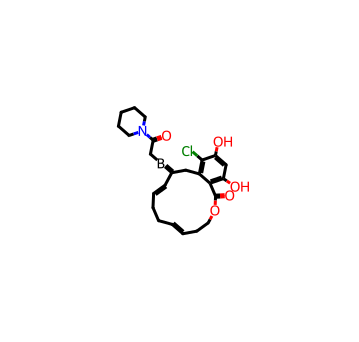 O=C1OCC/C=C/CC/C=C/C(=B\CC(=O)N2CCCCC2)Cc2c(Cl)c(O)cc(O)c21